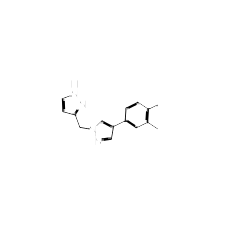 Cc1cc(-c2cnn(Cc3cc[nH]n3)c2)ccc1F